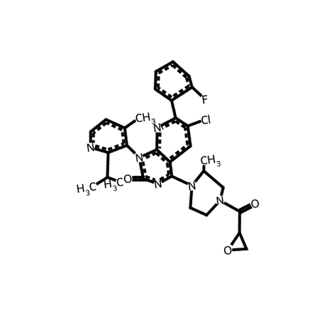 Cc1ccnc(C(C)C)c1-n1c(=O)nc(N2CCN(C(=O)C3CO3)CC2C)c2cc(Cl)c(-c3ccccc3F)nc21